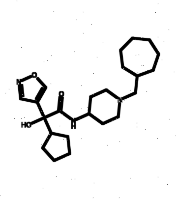 O=C(NC1CCN(CC2CCCCCC2)CC1)C(O)(c1cnoc1)C1CCCC1